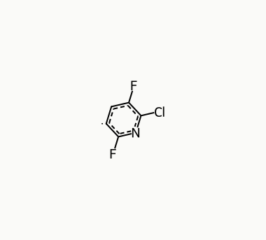 Fc1[c]cc(F)c(Cl)n1